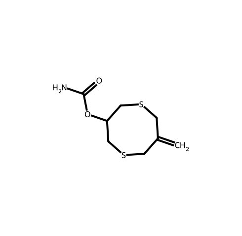 C=C1CSCC(OC(N)=O)CSC1